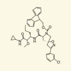 CCC[C@@H](NC(=O)[C@@H]1C[C@]2(CC(c3cccc(Cl)c3)=NO2)CN1C(=O)OCC1c2ccccc2-c2ccccc21)C(OC)C(=O)NC1CC1